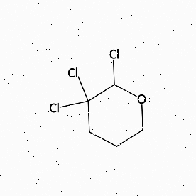 ClC1OCCCC1(Cl)Cl